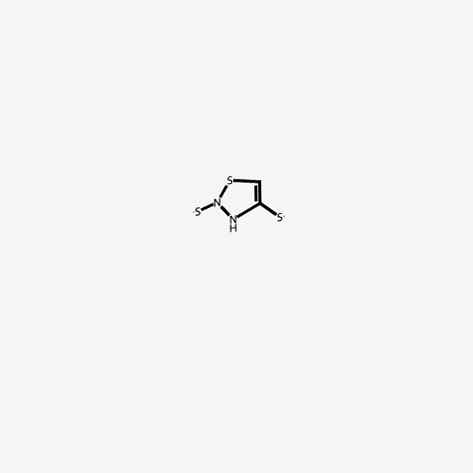 [S]C1=CSN([S])N1